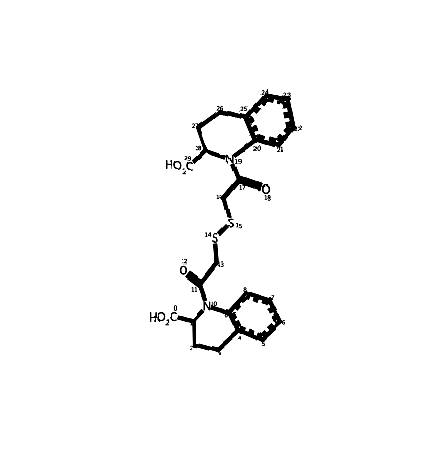 O=C(O)C1CCc2ccccc2N1C(=O)CSSCC(=O)N1c2ccccc2CCC1C(=O)O